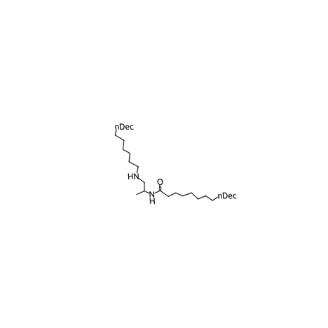 CCCCCCCCCCCCCCCCCC(=O)NC(C)CNCCCCCCCCCCCCCCCC